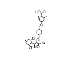 Cc1cc(OCC2CCC(/C=C/c3c(-c4c(Cl)cncc4Cl)noc3C3CC3)CC2)cnc1C(=O)O